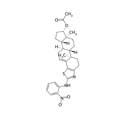 CC(=O)O[C@H]1CC[C@H]2[C@@H]3CC=C4c5sc(Nc6ccccc6[N+](=O)[O-])nc5CC[C@]4(C)[C@H]3CC[C@]12C